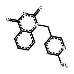 Nc1ccc(Cn2c(=O)oc(=O)c3ccccc32)cn1